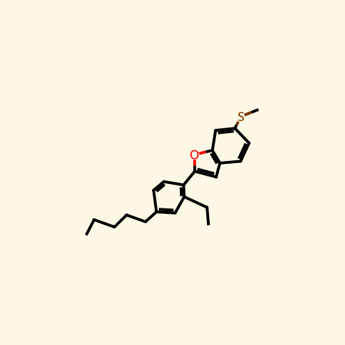 CCCCCc1ccc(-c2cc3ccc(SC)cc3o2)c(CC)c1